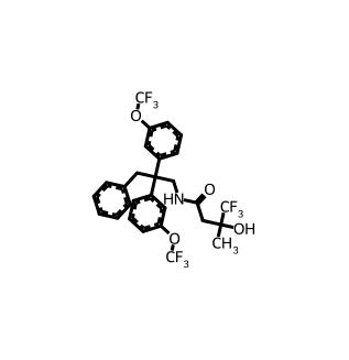 CC(O)(CC(=O)NCC(Cc1ccccc1)(c1cccc(OC(F)(F)F)c1)c1cccc(OC(F)(F)F)c1)C(F)(F)F